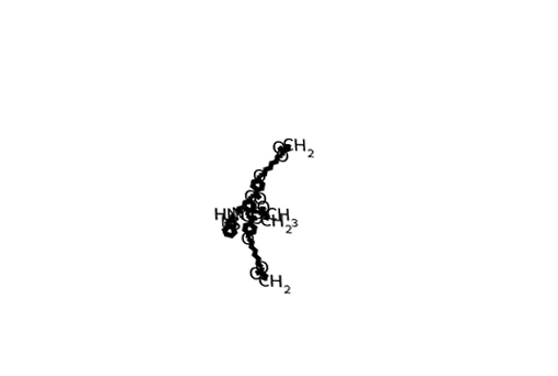 C=CC(=O)OCCCCCCOc1ccc(C(=O)Oc2cc(/C=N/Nc3nc4ccccc4s3)c(OC(=O)c3ccc(OCCCCCCOC(=O)C=C)cc3)c(OC(=O)C(=C)C)c2)cc1